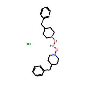 B(ON1CCC(Cc2ccccc2)CC1)ON1CCC(Cc2ccccc2)CC1.Cl